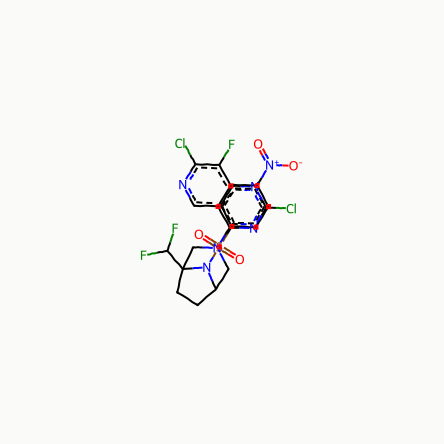 O=[N+]([O-])c1ccc(S(=O)(=O)N2C3CCC2(C(F)F)CN(c2nc(Cl)nc4c(F)c(Cl)ncc24)C3)cc1